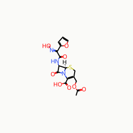 CC(=O)OCC1=C(C(=O)O)N2C(=O)[C@@H](NC(=O)C(=NO)c3ccco3)[C@H]2SC1